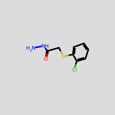 NNC(=O)CSc1ccccc1Cl